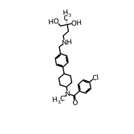 CN(C(=O)c1ccc(Cl)cc1)C1CCC(c2ccc(CNCC[C@](C)(O)CO)cc2)CC1